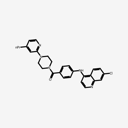 CCCc1ccnc(N2CCN(C(=O)c3ccc(Nc4ccnc5cc(Cl)ccc45)cc3)CC2)c1